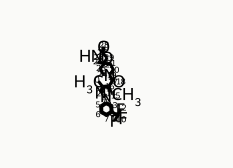 Cc1nn(-c2cccc(C(F)(F)F)c2)c(C)c1C(=O)N1CCC2(CC1)CNC(=O)O2